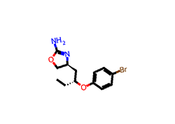 CC[C@H](C[C@H]1COC(N)=N1)Oc1ccc(Br)cc1